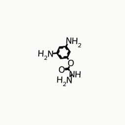 NNC(=O)Oc1cc(N)cc(N)c1